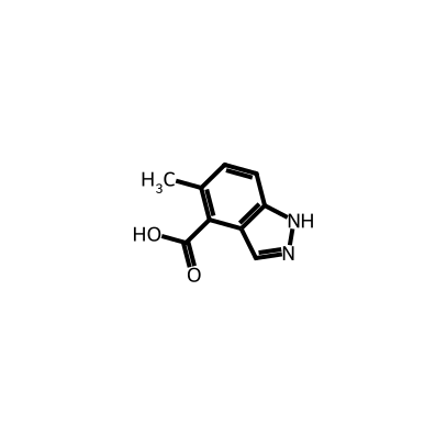 Cc1ccc2[nH]ncc2c1C(=O)O